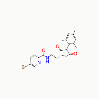 Cc1cc(C)c(C2C(=O)C[C@H](CCNC(=O)c3ccc(Br)cn3)C2=O)c(C)c1